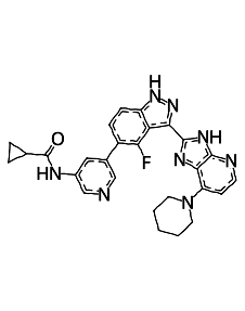 O=C(Nc1cncc(-c2ccc3[nH]nc(-c4nc5c(N6CCCCC6)ccnc5[nH]4)c3c2F)c1)C1CC1